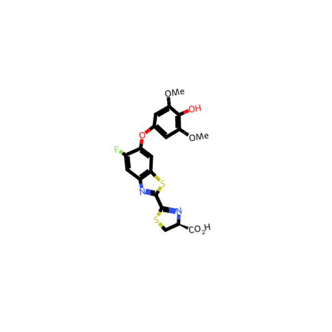 COc1cc(Oc2cc3sc(C4=N[C@@H](C(=O)O)CS4)nc3cc2F)cc(OC)c1O